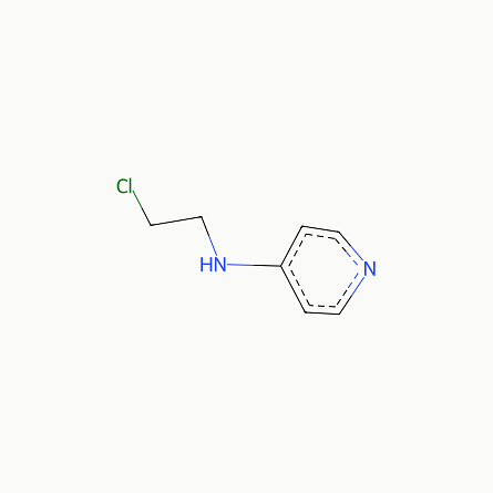 ClCCNc1ccncc1